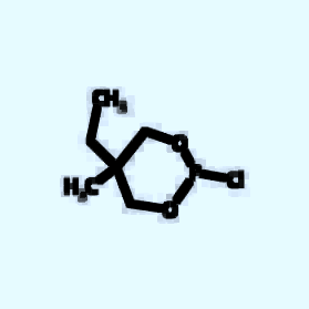 CCC1(C)COP(Cl)OC1